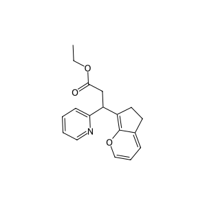 CCOC(=O)CC(C1=C2OC=CC=C2CC1)c1ccccn1